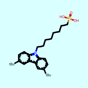 CC(C)(C)c1ccc2c(c1)c1cc(C(C)(C)C)ccc1n2CCCCCCCCP(=O)(O)O